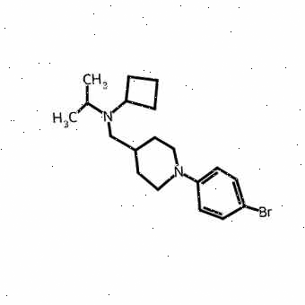 CC(C)N(CC1CCN(c2ccc(Br)cc2)CC1)C1CCC1